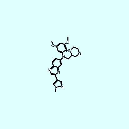 COc1cc(OC)cc(N(CC2COCCN2)c2ccc3ncc(-c4cnn(C)c4)nc3c2)c1